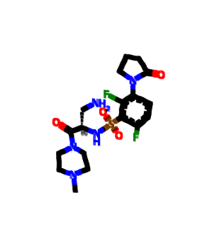 CN1CCN(C(=O)[C@H](CN)NS(=O)(=O)c2c(F)ccc(N3CCCC3=O)c2F)CC1